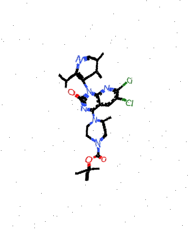 CC(C)C1=C(n2c(=O)nc(N3CCN(C(=O)OC(C)(C)C)C[C@@H]3C)c3cc(Cl)c(Cl)nc32)C(C)C(C)C=N1